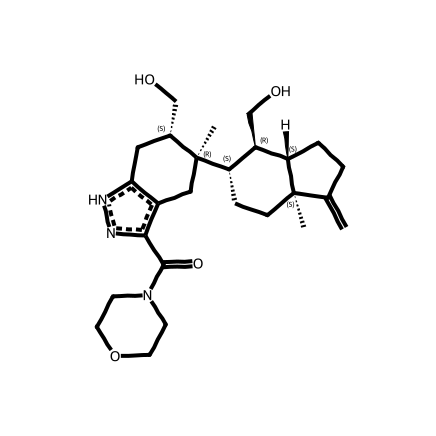 C=C1CC[C@H]2[C@H](CO)[C@@H]([C@@]3(C)Cc4c(C(=O)N5CCOCC5)n[nH]c4C[C@@H]3CO)CC[C@]12C